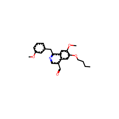 CCCCOc1cc2c(C=O)cnc(Cc3cccc(OC)c3)c2cc1OC